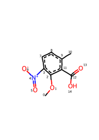 COc1c([N+](=O)[O-])ccc(C)c1C(=O)O